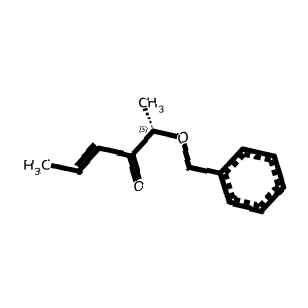 CC=CC(=O)[C@H](C)OCc1ccccc1